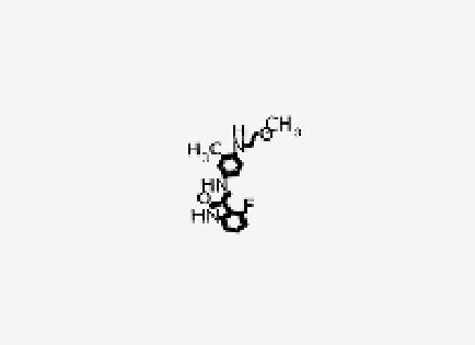 COCCNc1ccc(NC=C2C(=O)Nc3cccc(F)c32)cc1C